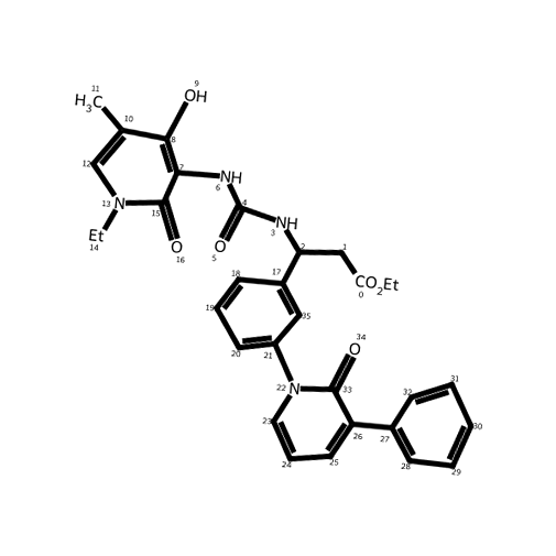 CCOC(=O)CC(NC(=O)Nc1c(O)c(C)cn(CC)c1=O)c1cccc(-n2cccc(-c3ccccc3)c2=O)c1